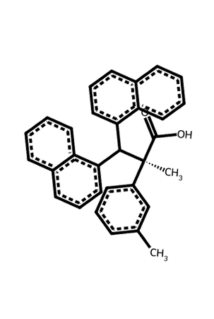 Cc1cccc([C@](C)(C(=O)O)C(c2cccc3ccccc23)c2cccc3ccccc23)c1